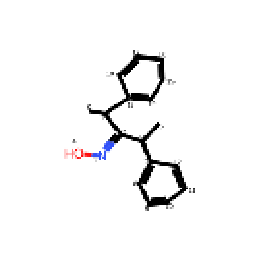 CC(C(=NO)C(C)c1ccccc1)c1ccccc1